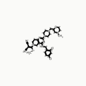 CSC(=C(C#N)C#N)N1CCc2nc(N3CCN(CC4CN(C)CCO4)CC3)nc(NCc3ccc(Cl)cc3Cl)c2C1